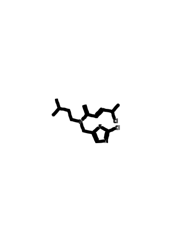 C=C(/C=C/C(C)Cl)N(CCC(C)C)Cc1cnc(Cl)s1